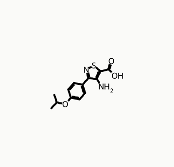 CC(C)Oc1ccc(-c2nsc(C(=O)O)c2N)cc1